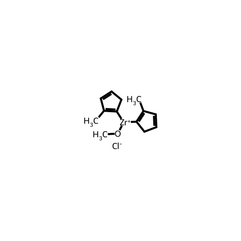 C[O][Zr+]([C]1=C(C)C=CC1)[C]1=C(C)C=CC1.[Cl-]